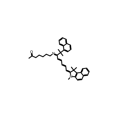 CC(=O)CCCCC\N=C(/C=C/C=C/C=C1/N(C)c2ccc3ccccc3c2C1(C)C)C(C)(C)c1cccc2ccccc12